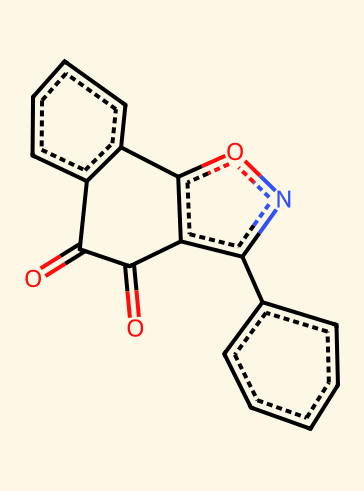 O=C1C(=O)c2c(-c3ccccc3)noc2-c2ccccc21